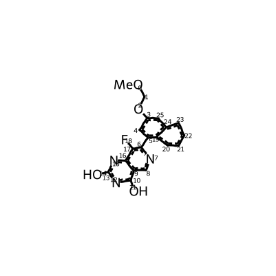 COCOc1cc(-c2ncc3c(O)nc(O)nc3c2F)c2ccccc2c1